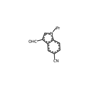 CC(C)n1cc(C=O)c2cc(C#N)ccc21